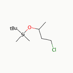 CC(CCCl)O[Si](C)(C)C(C)(C)C